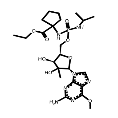 CCOC(=O)C1(NP(=O)(NC(C)C)OC[C@H]2O[C@@H](n3cnc4c(OC)nc(N)nc43)C(C)(O)[C@H]2O)CCCC1